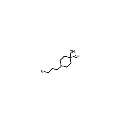 CC1(O)CCN(CCCBr)CC1